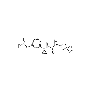 O=C(NC1CC2(CCC2)C1)NC1(c2cccc(OC(F)F)c2)CC1